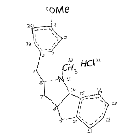 COc1ccc(CC2CC3Cc4ccccc4C3N2C)cc1.Cl